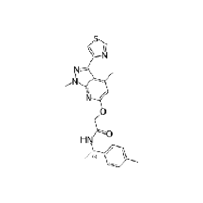 Cc1ccc([C@H](C)NC(=O)COc2cc(C)c3c(-c4cscn4)nn(C)c3n2)cc1